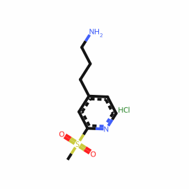 CS(=O)(=O)c1cc(CCCN)ccn1.Cl